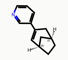 C1=C(c2cccnc2)C[C@H]2CC[C@@H]1C2